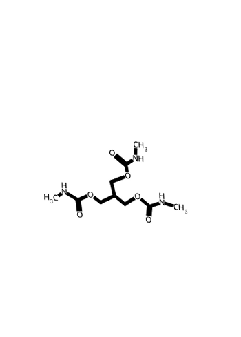 CNC(=O)OCC(COC(=O)NC)COC(=O)NC